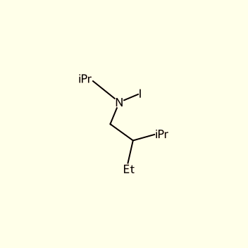 CCC(CN(I)C(C)C)C(C)C